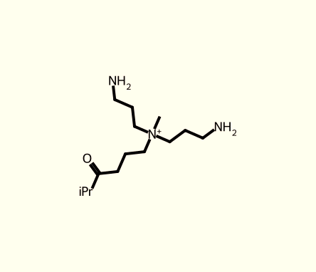 CC(C)C(=O)CCC[N+](C)(CCCN)CCCN